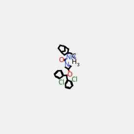 CCC1(NC(=O)N2CC(OC(c3ccccc3Cl)c3ccccc3Cl)C2)CC2CCC(C2)C1